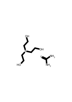 NC(N)=S.OCCN(CCO)CCO